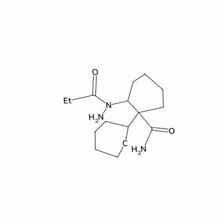 CCC(=O)N(N)C1CCCCC1(C(N)=O)C1CCCCC1